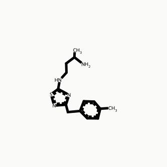 Cc1ccc(Cc2nsc(NCCC(C)N)n2)cc1